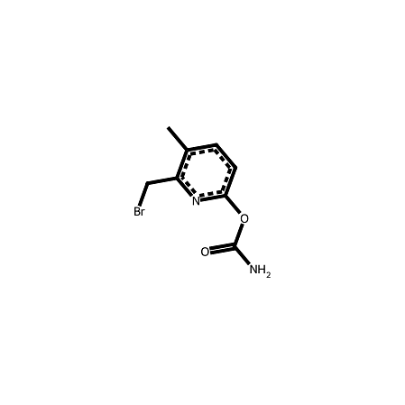 Cc1ccc(OC(N)=O)nc1CBr